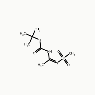 CC(=NS(C)(=O)=O)NC(=O)OC(C)(C)C